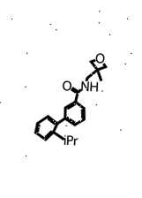 CC(C)c1ccccc1-c1cccc(C(=O)NCC2(C)COC2)c1